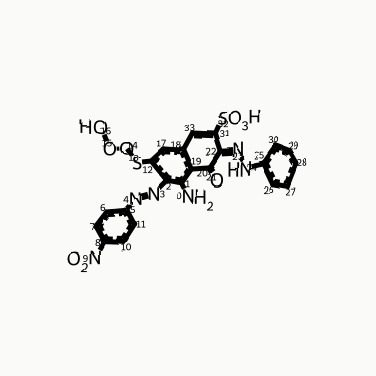 Nc1c(/N=N/c2ccc([N+](=O)[O-])cc2)c(SOOO)cc2c1C(=O)/C(=N\Nc1ccccc1)C(S(=O)(=O)O)=C2